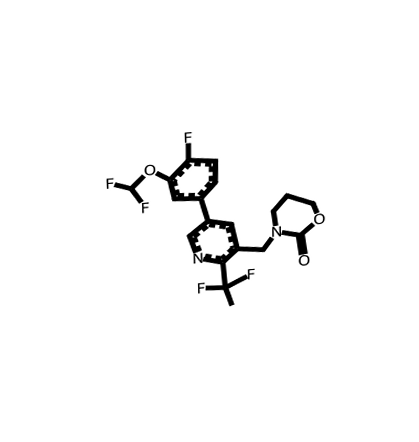 CC(F)(F)c1ncc(-c2ccc(F)c(OC(F)F)c2)cc1CN1CCCOC1=O